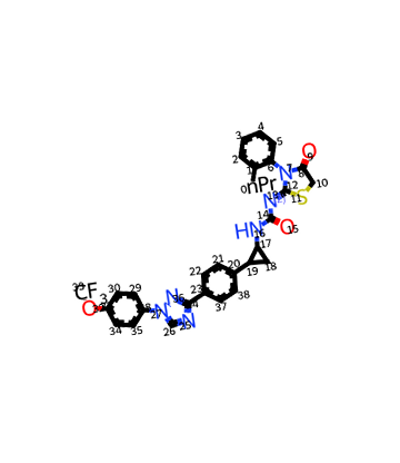 CCCc1ccccc1N1C(=O)CS/C1=N\C(=O)NC1CC1c1ccc(-c2ncn(-c3ccc(OC(F)(F)F)cc3)n2)cc1